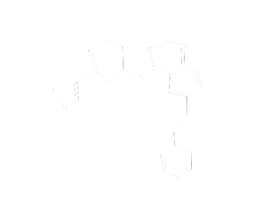 C(=Cc1ccc2ncnc(Nc3cccc(-c4cnco4)c3)c2c1)c1ccncc1